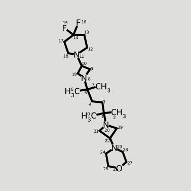 CC(C)(CCC(C)(C)N1CC(N2CCC(F)(F)CC2)C1)N1CC(N2CCOCC2)C1